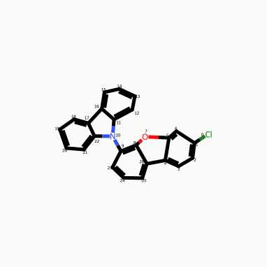 Clc1ccc2c(c1)oc1c(-n3c4ccccc4c4ccccc43)cccc12